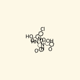 COc1ccccc1CC(NC(=O)C(Cc1ccccc1OC)Nc1nc2ccc(Cl)cc2cc1C(=O)O)C(=O)O